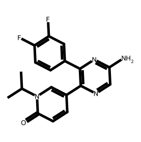 CC(C)n1cc(-c2ncc(N)nc2-c2ccc(F)c(F)c2)ccc1=O